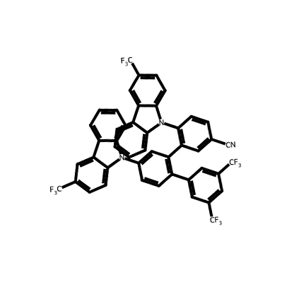 N#Cc1ccc(-n2c3ccccc3c3cc(C(F)(F)F)ccc32)c(-c2cc(-n3c4ccccc4c4cc(C(F)(F)F)ccc43)ccc2-c2cc(C(F)(F)F)cc(C(F)(F)F)c2)c1